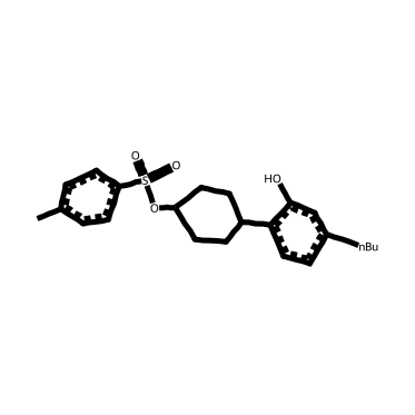 CCCCc1ccc(C2CCC(OS(=O)(=O)c3ccc(C)cc3)CC2)c(O)c1